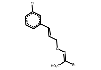 CC/C(=N/OC/C=C/c1cccc(Cl)c1)C(=O)O